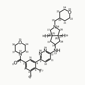 O=C(c1cc(F)c(F)c(-c2ccc(NC3C[C@@H]4CN(CC5CCOCC5)C[C@@H]4C3)nn2)c1)N1CCOCC1